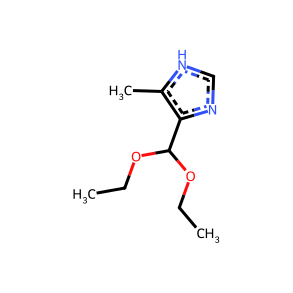 CCOC(OCC)c1nc[nH]c1C